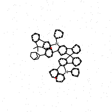 CC1(C)c2ccccc2-c2cc(N(c3ccccc3)c3cc4c(cc3-c3ccc(C5CC6CCC5C6)cc3)C3(c5ccccc5-4)c4ccccc4-c4c3ccc(-c3ccccc3)c4N(c3ccccc3)c3ccccc3)ccc21